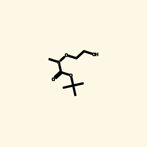 CN(OCCO)C(=O)OC(C)(C)C